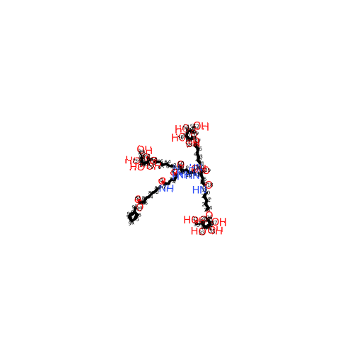 O=C(CCCC(=O)NC(CCC(O)NC(CCC(=O)NCCCCCCO[C@H]1O[C@H](CO)[C@@H](O)[C@H](O)[C@@H]1O)C(=O)NCCCCCCO[C@H]1O[C@H](CO)[C@@H](O)[C@H](O)[C@@H]1O)C(=O)NCCCCCCO[C@H]1O[C@H](CO)[C@@H](O)[C@H](O)[C@@H]1O)NCCCCCCC(=O)OCc1ccccc1